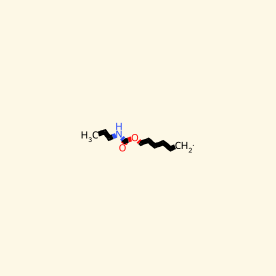 [CH2]CCCCCOC(=O)NCCC